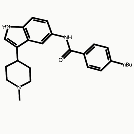 CCCCc1ccc(C(=O)Nc2ccc3[nH]cc(C4CCN(C)CC4)c3c2)cc1